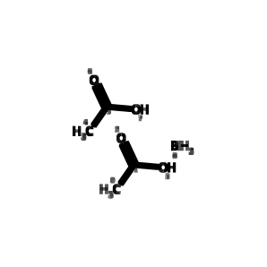 CC(=O)O.CC(=O)O.[BiH3]